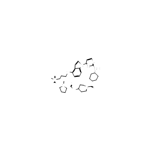 CN1CCC[C@H]1C(=O)OC1CCN(C(=O)[C@H]2CC[C@H](Nc3nccc(-n4ccc5c(OCCCS(C)(=O)=O)cccc54)n3)CC2)CC1